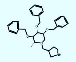 C[C@@H]1[C@@H](OCc2ccccc2)[C@H](OCc2ccccc2)[C@@H](OCc2ccccc2)CN1CC1CCNC1